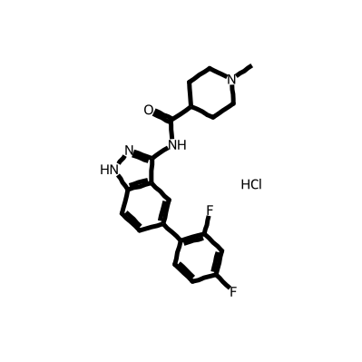 CN1CCC(C(=O)Nc2n[nH]c3ccc(-c4ccc(F)cc4F)cc23)CC1.Cl